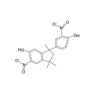 CC1(C)CC(C)(c2ccc(O)c([N+](=O)[O-])c2)c2cc(O)c([N+](=O)[O-])cc21